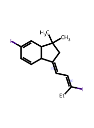 CC/C(I)=C\C=C1/CC(C)(C)C2C=C(I)C=CC12